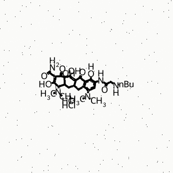 CCCCNCC(=O)Nc1cc(N(C)C)c2c(c1O)C(=O)C1=C(O)C3(O)C(=O)C(C(N)=O)=C(O)[C@@H](N(C)C)C3CC1C2.Cl.Cl